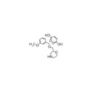 COc1cccc(COCC2CNCCO2)c1.O=C(O)/C=C\C(=O)O